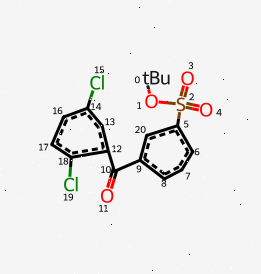 CC(C)(C)OS(=O)(=O)c1cccc(C(=O)c2cc(Cl)ccc2Cl)c1